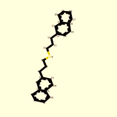 c1ccc2cc(CCCSCCCc3ccc4ccccc4c3)ccc2c1